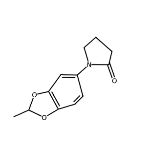 CC1Oc2ccc(N3CCCC3=O)cc2O1